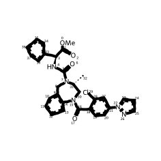 COC(=O)[C@@H](NC(=O)N1Cc2ccccc2N(C(=O)c2ccc(-n3cccn3)cc2Cl)C[C@H]1C)c1ccccc1